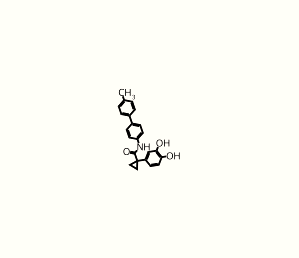 Cc1ccc(-c2ccc(NC(=O)C3(c4ccc(O)c(O)c4)CC3)cc2)cc1